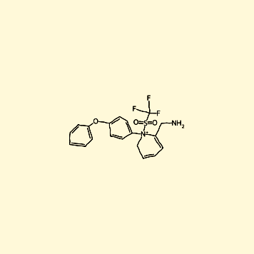 NCC1=CC=CC[N+]1(c1ccc(Oc2ccccc2)cc1)S(=O)(=O)C(F)(F)F